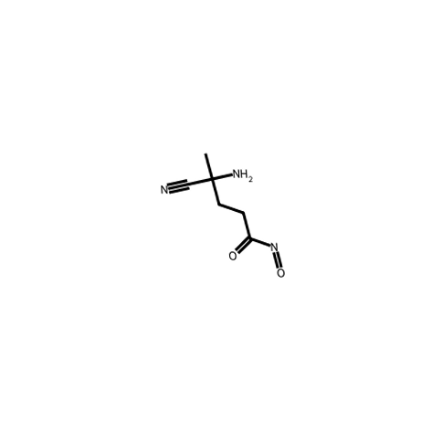 CC(N)(C#N)CCC(=O)N=O